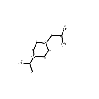 CCCCC(C)N1CCN(CC(O)CC)CC1